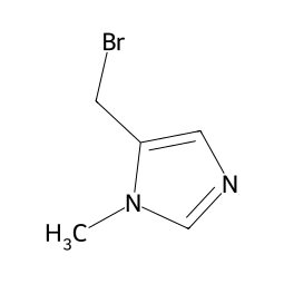 Cn1cncc1CBr